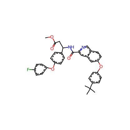 COC(=O)CC(NC(=O)c1cc2cc(Oc3ccc(C(C)(C)C)cc3)ccc2cn1)c1ccc(Oc2ccc(F)cc2)cc1